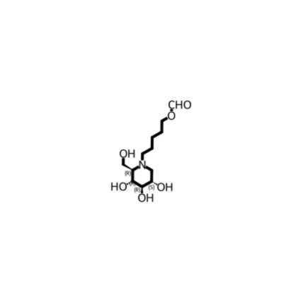 O=COCCCCCN1C[C@H](O)[C@@H](O)[C@H](O)[C@H]1CO